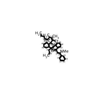 C=CC/C=C\C(C)/C(C)=C(/CC)C1(C)NC2(N=C(/C=C(\NC)c3ccccc3)c3ccccc32)C(C)(CC=C)C2=C1C=CCC2